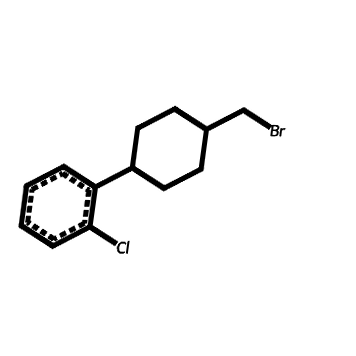 Clc1ccccc1C1CCC(CBr)CC1